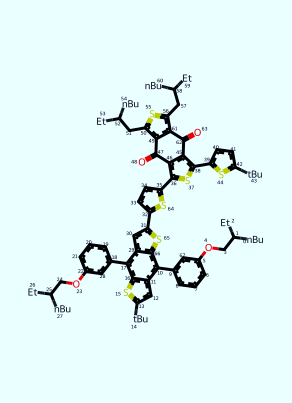 CCCCC(CC)COc1cccc(-c2c3cc(C(C)(C)C)sc3c(-c3cccc(OCC(CC)CCCC)c3)c3cc(-c4ccc(-c5sc(-c6ccc(C(C)(C)C)s6)c6c5C(=O)c5c(CC(CC)CCCC)sc(CC(CC)CCCC)c5C6=O)s4)sc23)c1